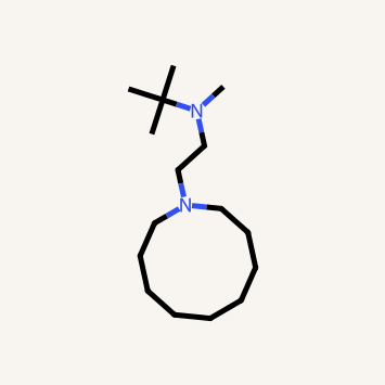 CN(CCN1CCCCCCCCC1)C(C)(C)C